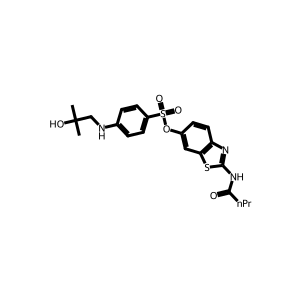 CCCC(=O)Nc1nc2ccc(OS(=O)(=O)c3ccc(NCC(C)(C)O)cc3)cc2s1